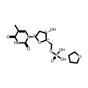 C1CCOC1.Cc1cn([C@H]2C[C@H](O)[C@@H](COP(=O)(O)O)O2)c(=O)[nH]c1=O